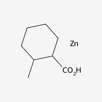 CC1CCCCC1C(=O)O.[Zn]